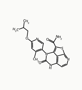 Cc1cc(OCC(C)C)ncc1N1C(=O)Nc2ccnc3sc(C(N)=O)c1c23